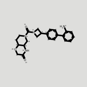 Nc1ccccc1-c1ccc(C2CN(C(=O)N3CCC4OCC(=O)NC4C3)C2)cc1